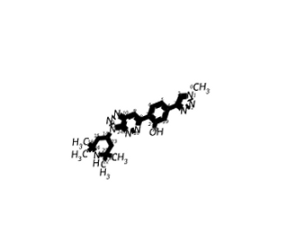 Cn1cc(-c2ccc(-c3cc4nnn(C5CC(C)(C)NC(C)(C)C5)c4nn3)c(O)c2)nn1